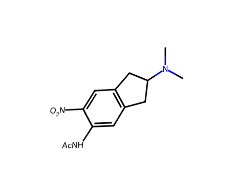 CC(=O)Nc1cc2c(cc1[N+](=O)[O-])CC(N(C)C)C2